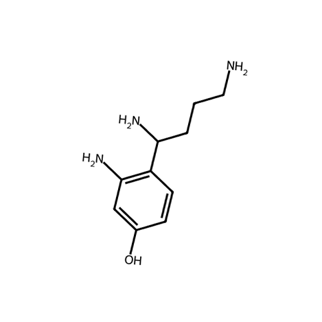 NCCCC(N)c1ccc(O)cc1N